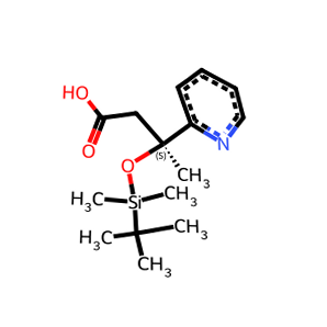 CC(C)(C)[Si](C)(C)O[C@@](C)(CC(=O)O)c1ccccn1